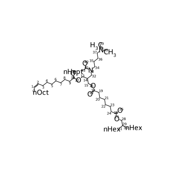 CCCCCCCC/C=C\CCCCCCCC(=O)OCC(COC(=O)CCCCCCC(=O)OCC(CCCCCC)CCCCCC)CN(CCCCN(C)C)C(=O)CCCCCCC